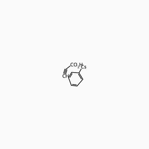 C#CC(=O)O.[Cs][c]1ccccc1